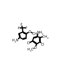 COc1c(Cl)cc(N)c(C)c1Cl.COc1ccc(N)cc1C(F)(F)F